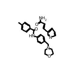 Cc1ccc(C(=O)Nc2ccc(CN3CCOCC3)cc2)cc1.NC(=O)C=Cc1cccnc1